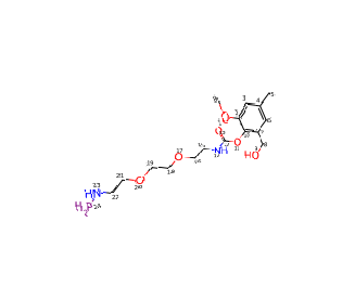 COc1cc(C)cc(CO)c1OC(=O)NCCOCCOCCNP